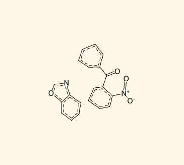 O=C(c1ccccc1)c1ccccc1[N+](=O)[O-].c1ccc2ocnc2c1